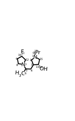 CC(C)N1CC(CC(C)N2CC[C@H](F)C2)[C@@H](O)C1